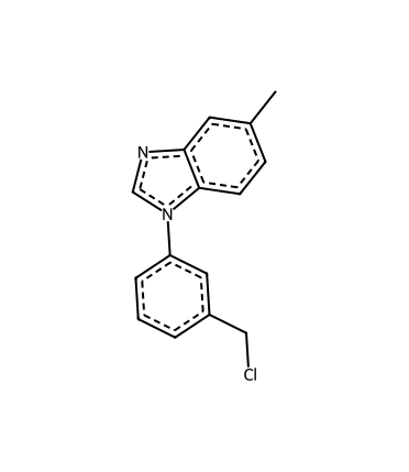 Cc1ccc2c(c1)ncn2-c1cccc(CCl)c1